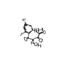 O=C1Nc2cc(F)cc(F)c2C(=O)/C(=N/O)C1=O